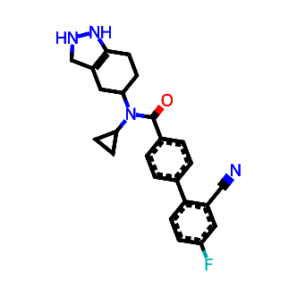 N#Cc1cc(F)ccc1-c1ccc(C(=O)N(C2CC2)C2CCC3=C(CNN3)C2)cc1